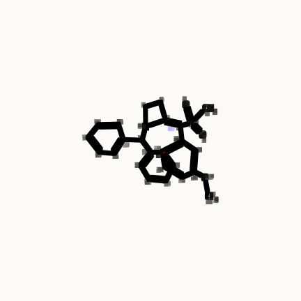 CS(=O)(=O)/C(=C1\CCN1C(c1ccccc1)c1ccccc1)c1cccc(OC(F)(F)F)c1